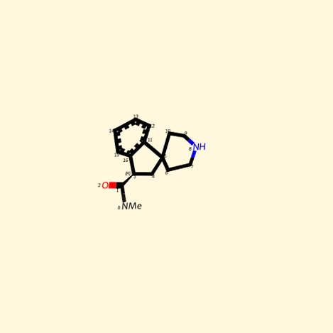 CNC(=O)[C@@H]1CC2(CCNCC2)c2ccccc21